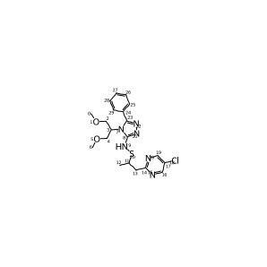 COCC(COC)n1c(NSC(C)Cc2ncc(Cl)cn2)nnc1-c1ccccc1